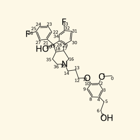 COc1cc(CCO)ccc1OCCCN1CCC(C(O)(c2cccc(F)c2)c2cccc(F)c2)CC1